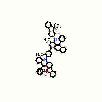 Cc1cc(-c2ccc(N(c3ccc4c(c3)C(C)(C)c3ccccc3-4)c3ccccc3-c3cccc4ccccc34)c(C)c2)ccc1N(c1ccc2c(c1)C(C)(C)c1ccccc1-2)c1ccccc1-c1cccc2ccccc12